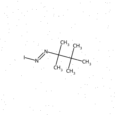 CC(C)(C)C(C)(C)N=NI